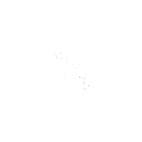 COc1ccc(NCCNC(=O)C(CNC(=O)c2cccc(F)c2C)C2CCCCC2)cc1